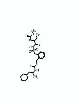 CC(C)CC(NC(=O)OC(C)(C)C)C(=O)NS(=O)(=O)Cc1ccccc1COC(=O)NC(C)CC1CCCCC1